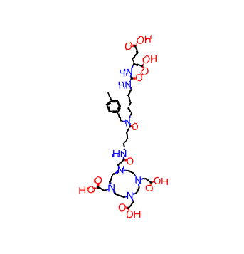 Cc1ccc(CN(CCCCCNC(=O)N[C@@H](CCC(=O)O)C(=O)O)C(=O)CCCCNC(=O)CN2CCN(CC(=O)O)CCN(CC(=O)O)CCN(CC(=O)O)CC2)cc1